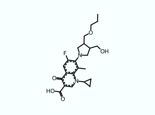 CCCOCC1CN(c2c(F)cc3c(=O)c(C(=O)O)cn(C4CC4)c3c2C)CC1CO